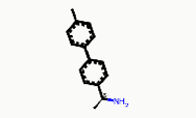 Cc1ccc(-c2ccc([C@H](C)N)cc2)cc1